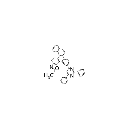 CCc1nc2ccc(-c3c(-c4ccc(-c5cc(-c6ccccc6)nc(-c6ccccc6)n5)cc4)ccc4ccccc34)cc2o1